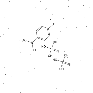 CC(=O)N(c1ccc(F)cc1)C(C)C.OP(O)(O)=S.OP(O)(O)=S